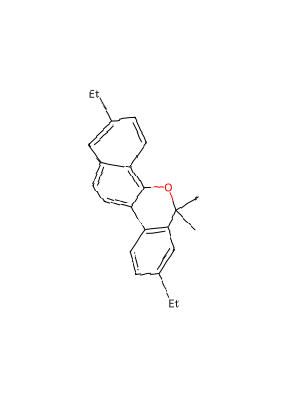 CCc1ccc2c(c1)C(C)(C)Oc1c-2ccc2cc(CC)ccc12